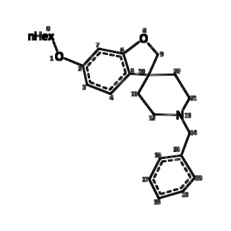 CCCCCCOc1ccc2c(c1)OCC21CCN(Cc2ccccc2)CC1